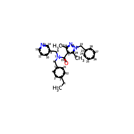 CCc1ccc(CN(Cc2cccnc2)C(=O)c2c(C)nn(Cc3ccccc3)c2C)cc1